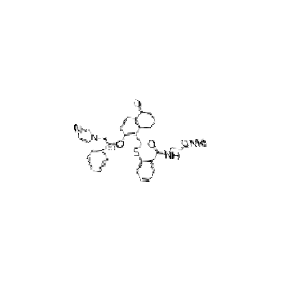 COCCNC(=O)c1ccccc1SCc1c(O[C@H](Cn2ccnc2)c2ccccc2)ccc2c1CCCC2=O